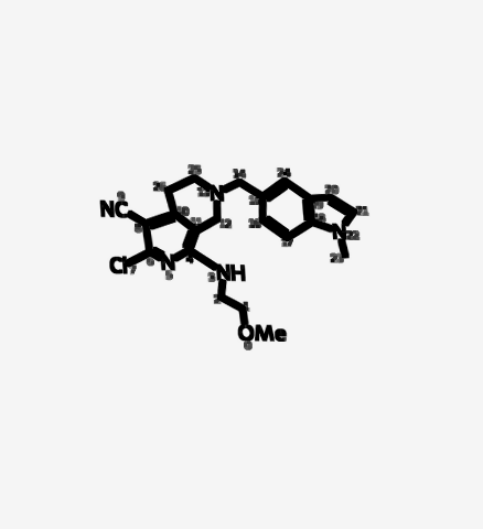 COCCNc1nc(Cl)c(C#N)c2c1CN(Cc1ccc3c(ccn3C)c1)CC2